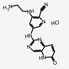 Cl.N#Cc1ncc(Nc2ncc3[nH]c(=O)ccc3n2)cc1NCCN